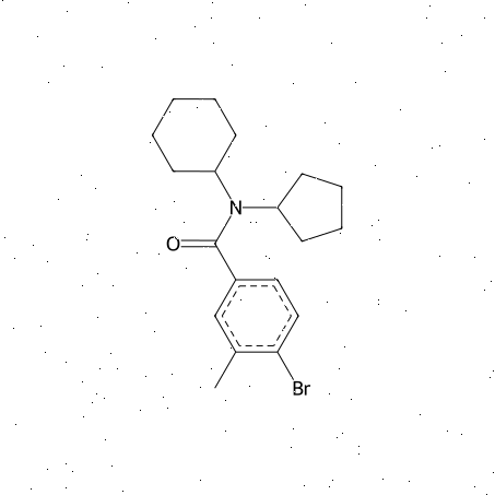 Cc1cc(C(=O)N(C2CCCCC2)C2CCCC2)ccc1Br